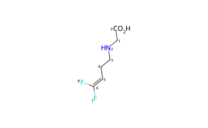 O=C(O)CNCCC=C(F)F